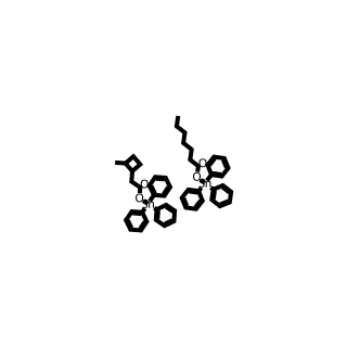 CC1CCC1CC(=O)[O][Sn]([c]1ccccc1)([c]1ccccc1)[c]1ccccc1.CCCCCCC(=O)[O][Sn]([c]1ccccc1)([c]1ccccc1)[c]1ccccc1